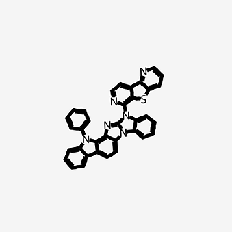 c1ccc(-n2c3ccccc3c3ccc4c(nc5n(-c6nccc7c6sc6cccnc67)c6ccccc6n45)c32)cc1